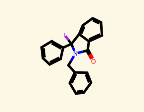 O=C1c2ccccc2C(I)(c2ccccc2)N1Cc1ccccc1